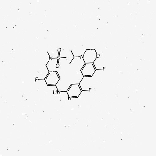 CC(C)N1CCOc2c(F)cc(-c3cc(Nc4ccc(CN(C)S(C)(=O)=O)c(F)c4)ncc3F)cc21